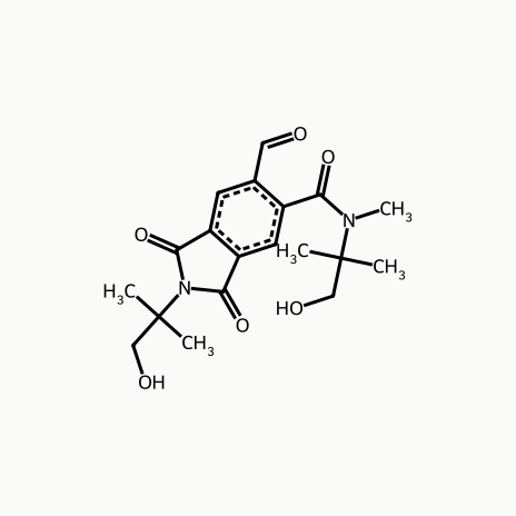 CN(C(=O)c1cc2c(cc1C=O)C(=O)N(C(C)(C)CO)C2=O)C(C)(C)CO